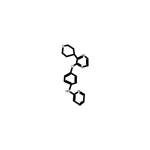 c1ccc(Nc2ccc(Oc3nccnc3C3CCOCC3)cc2)nc1